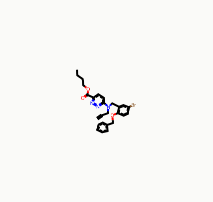 C#CCN(Cc1cc(Br)ccc1OCc1ccccc1)c1ccc(C(=O)OCCCC)nn1